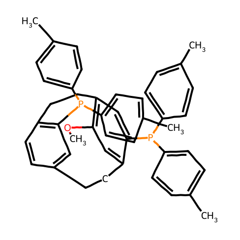 COc1cc2c(P(c3ccc(C)cc3)c3ccc(C)cc3)cc1CCc1ccc(cc1P(c1ccc(C)cc1)c1ccc(C)cc1)CC2